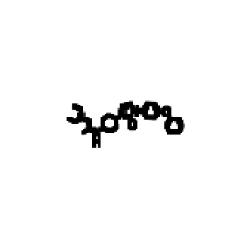 CCN(CC)CC(C)NC1CCC(n2ccn(-c3ccc(Oc4ccccc4)cc3)c2=O)CC1